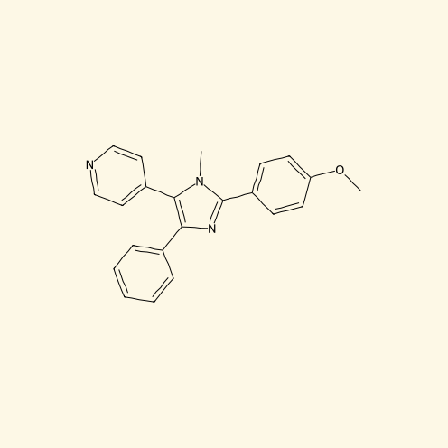 COc1ccc(-c2nc(-c3ccccc3)c(-c3ccncc3)n2C)cc1